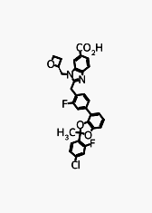 CC1(c2ccc(Cl)cc2F)Oc2cccc(-c3ccc(Cc4nc5ccc(C(=O)O)cc5n4C[C@@H]4CCO4)c(F)c3)c2O1